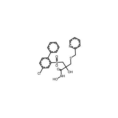 O=C(NO)C(O)(CSCc1ccccn1)CS(=O)(=O)c1cc(Cl)ccc1-c1ccccc1